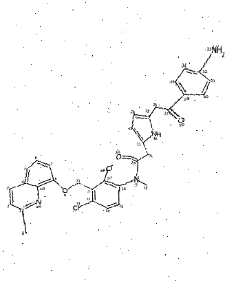 Cc1ccc2cccc(OCc3c(Cl)ccc(N(C)C(=O)Cc4ccc(CC(=O)c5ccc(N)cc5)[nH]4)c3Cl)c2n1